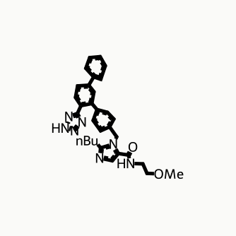 CCCCc1ncc(C(=O)NCCOC)n1Cc1ccc(-c2cc(-c3ccccc3)ccc2-c2nn[nH]n2)cc1